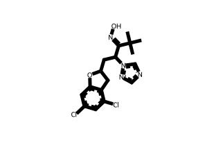 CC(C)(C)C(=NO)C(CC1Cc2c(Cl)cc(Cl)cc2O1)n1cncn1